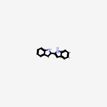 c1ccc2c(c1)CC(c1cc3ccccc3[nH]1)[N]2